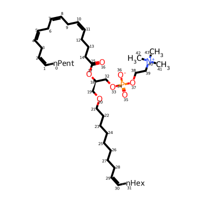 CCCCC/C=C\C/C=C\C/C=C\C/C=C\CCCC(=O)O[C@H](COCCCCCCCC/C=C\CCCCCC)COP(=O)([O-])OCC[N+](C)(C)C